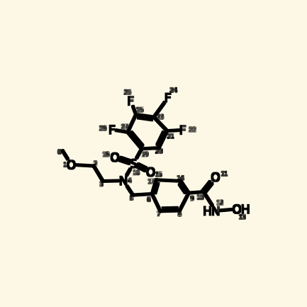 COCCN(Cc1ccc(C(=O)NO)cc1)S(=O)(=O)c1cc(F)c(F)c(F)c1F